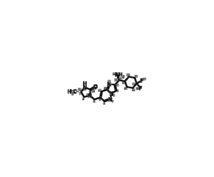 C[C@H]1CN(Cc2cnn3cc([C@@H](N)C4CCC(F)(F)CC4)nc3c2)C(=O)N1